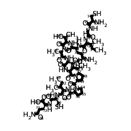 CC[C@H](C)[C@H](NC(=O)CNC(=O)[C@@H](N)CS)C(=O)N[C@@H](CCC(N)=O)C(=O)N[C@H](C(=O)N[C@@H](C)C(=O)N[C@@H](CO)C(=O)N[C@H](C(=O)N1CCC[C@H]1C(=O)N1CCC[C@H]1C(=O)N[C@H](C(=O)N[C@@H](CS)C(=O)N[C@@H](CCC(N)=O)C(=O)O)[C@@H](C)CC)[C@@H](C)CC)[C@@H](C)O